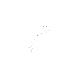 Cn1c2ccccc2c2c(N(c3ccccc3)c3cc4c(c5ccccc35)-c3ccc(-n5c6ccccc6c6ccccc65)cc3C4(C)C)cccc21